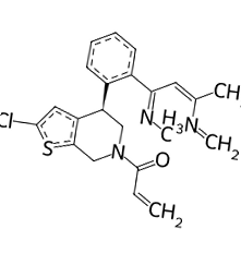 C=CC(=O)N1Cc2sc(Cl)cc2[C@@H](c2ccccc2C(/C=C(/C)N=C)=N/C)C1